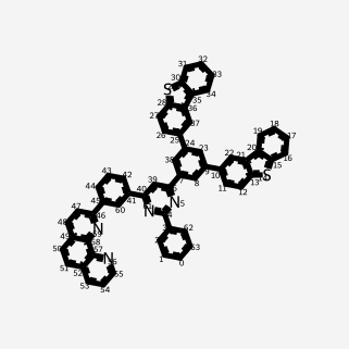 c1ccc(-c2nc(-c3cc(-c4ccc5sc6ccccc6c5c4)cc(-c4ccc5sc6ccccc6c5c4)c3)cc(-c3cccc(-c4ccc5ccc6cccnc6c5n4)c3)n2)cc1